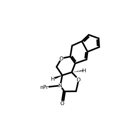 CCCN1C(=O)CO[C@@H]2C3=C(CC4=CC=CC4=C3)OC[C@H]21